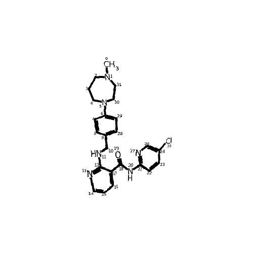 CN1CCCN(c2ccc(CNc3ncccc3C(=O)Nc3ccc(Cl)cn3)cc2)CC1